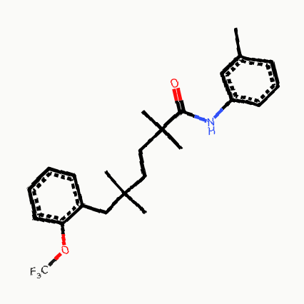 Cc1cccc(NC(=O)C(C)(C)CCC(C)(C)Cc2ccccc2OC(F)(F)F)c1